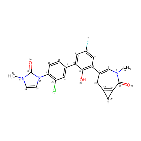 CN1C=C(c2cc(F)cc(-c3ccc(-n4ccn(C)c4=O)c(Cl)c3)c2O)CC2=C(B2)C1=O